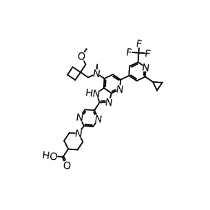 COCC1(CN(C)c2cc(-c3cc(C4CC4)nc(C(F)(F)F)c3)nc3nc(-c4cnc(N5CCC(C(=O)O)CC5)cn4)[nH]c23)CCC1